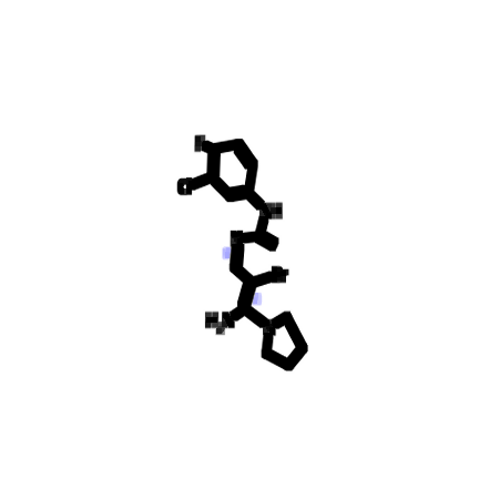 C=C(/N=C\C(Br)=C(/N)N1CCCC1)Nc1ccc(F)c(Cl)c1